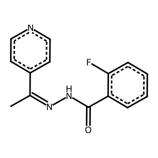 CC(=NNC(=O)c1ccccc1F)c1ccncc1